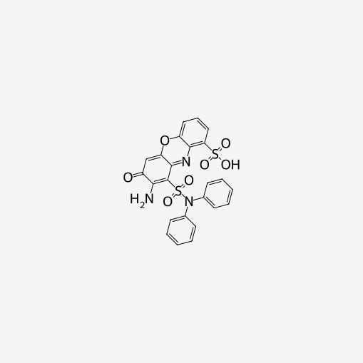 Nc1c(S(=O)(=O)N(c2ccccc2)c2ccccc2)c2nc3c(S(=O)(=O)O)cccc3oc-2cc1=O